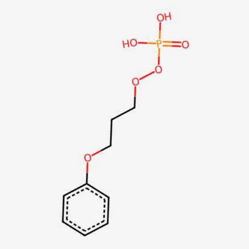 O=P(O)(O)OOCCCOc1ccccc1